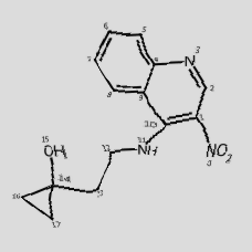 O=[N+]([O-])c1cnc2ccccc2c1NCCC1(O)CC1